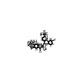 Cc1ccc(F)c(-c2nc(C(F)(F)F)ccc2CNC(=O)C(C)c2ccc(C(N)S(C)(=O)=O)c(F)c2)c1